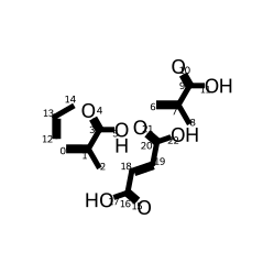 C=C(C)C(=O)O.C=C(C)C(=O)O.C=CC.O=C(O)/C=C/C(=O)O